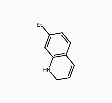 CCc1ccc2c(c1)NCC=C2